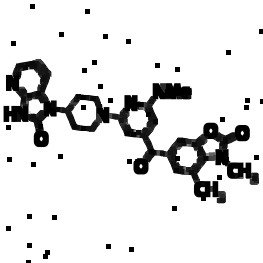 CNc1cc(C(=O)c2cc(C)c3c(c2)oc(=O)n3C)cc(N2CCC(n3c(=O)[nH]c4ncc#cc43)CC2)n1